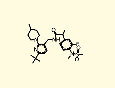 CC1CCN(c2nc(C(C)(C)C)ccc2CNC(=O)C(C)c2ccc(N(C)S(C)(=O)=O)c(F)c2)CC1